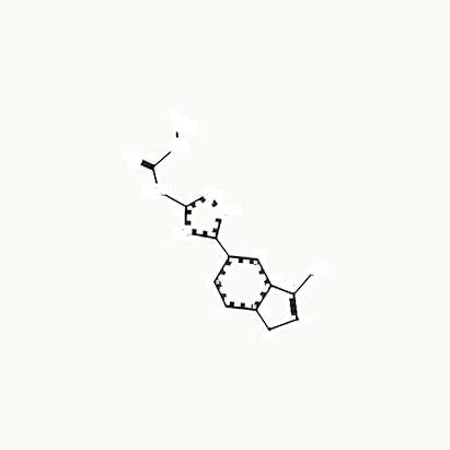 CC(C)(C)OC(=O)Nc1nc(-c2ccc3c(c2)C(I)=CC3)ns1